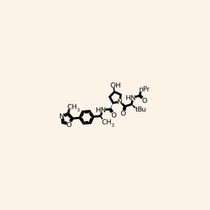 CCCC(=O)N[C@H](C(=O)N1C[C@H](O)C[C@H]1C(=O)N[C@@H](C)c1ccc(-c2ocnc2C)cc1)C(C)(C)C